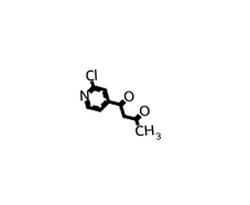 CC(=O)CC(=O)c1ccnc(Cl)c1